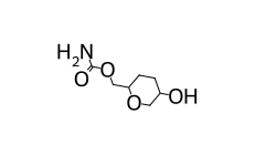 NC(=O)OCC1CCC(O)CO1